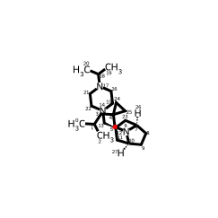 CC(C)CC1(CN2[C@@H]3CC[C@H]2C[C@@H](CN2CCN(C(C)C)CC2)C3)CC1